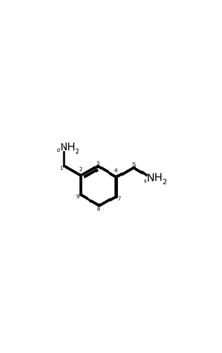 NCC1=CC(CN)CCC1